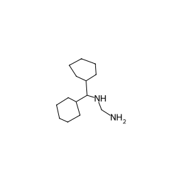 NCNC(C1CCCCC1)C1CCCCC1